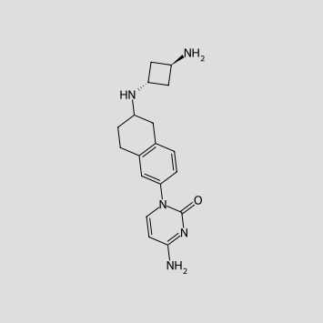 Nc1ccn(-c2ccc3c(c2)CCC(N[C@H]2C[C@H](N)C2)C3)c(=O)n1